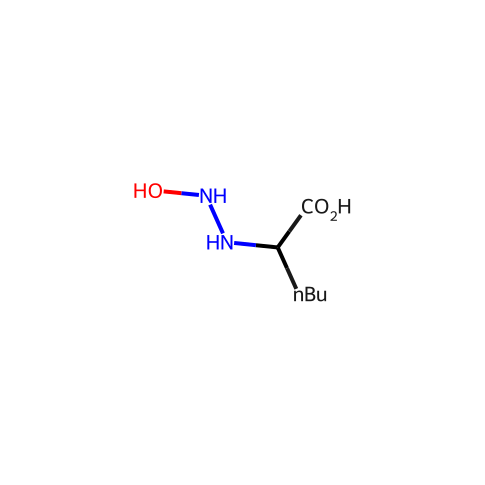 CCCCC(NNO)C(=O)O